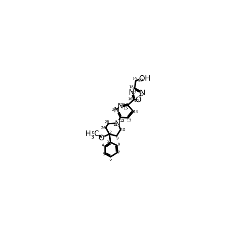 COC1(c2ccccc2)CCN(c2ccc(-c3nc(CO)no3)nn2)CC1